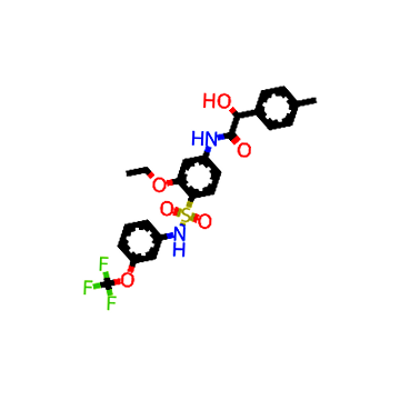 CCOc1cc(NC(=O)C(O)c2ccc(C)cc2)ccc1S(=O)(=O)Nc1cccc(OC(F)(F)F)c1